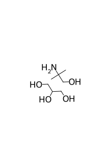 CC(C)(N)CO.OCC(O)CO